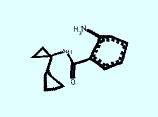 Nc1ccccc1C(=O)NC1(C2CC2)CC1